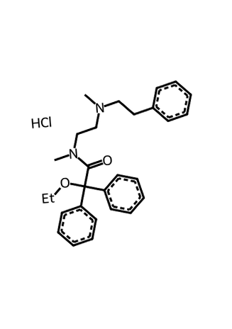 CCOC(C(=O)N(C)CCN(C)CCc1ccccc1)(c1ccccc1)c1ccccc1.Cl